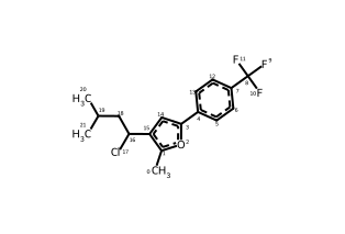 Cc1oc(-c2ccc(C(F)(F)F)cc2)cc1C(Cl)CC(C)C